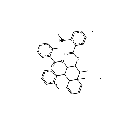 CPc1ccccc1C(=O)OC1C(OC(=O)c2ccccc2C)C(c2ccccc2C)C2C=CC=CC2(C)C1C